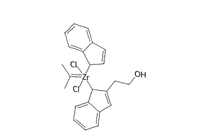 C[C](C)=[Zr]([Cl])([Cl])([CH]1C=Cc2ccccc21)[CH]1C(CCO)=Cc2ccccc21